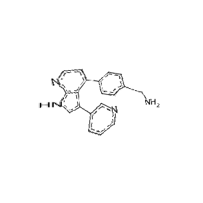 NCc1ccc(-c2ccnc3[nH]cc(-c4cccnc4)c23)cc1